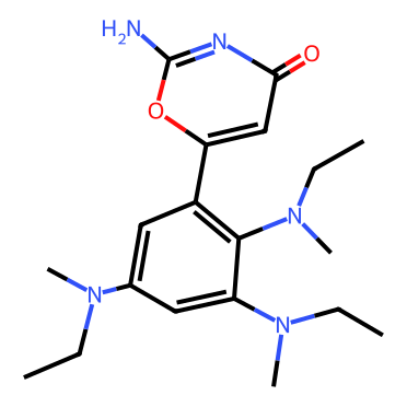 CCN(C)c1cc(-c2cc(=O)nc(N)o2)c(N(C)CC)c(N(C)CC)c1